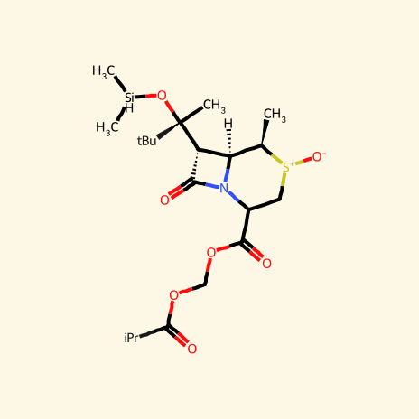 CC(C)C(=O)OCOC(=O)C1C[S+]([O-])[C@H](C)[C@@H]2[C@@H]([C@@](C)(O[SiH](C)C)C(C)(C)C)C(=O)N12